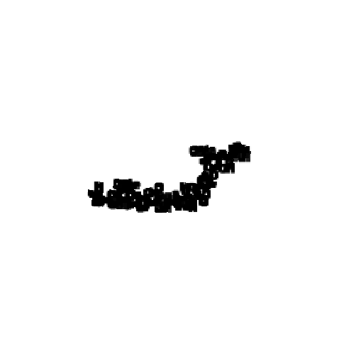 CO[C@@H]1[C@@H](OC(=O)c2ccc(C)[nH]2)[C@@H](O)C(Oc2ccc3c(O)c(NC(=O)c4[nH]cc(C(=O)Nc5c(O)c6ccc(OC7OC(C)(C)[C@@H](OC)[C@H](OC(=O)c8ccc(C)[nH]8)[C@@H]7O)c(C)c6oc5=O)c4C)c(=O)oc3c2C)OC1(C)C